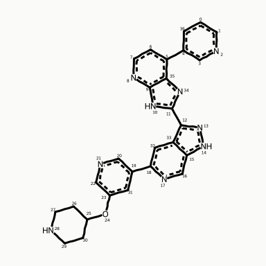 c1cncc(-c2ccnc3[nH]c(-c4n[nH]c5cnc(-c6cncc(OC7CCNCC7)c6)cc45)nc23)c1